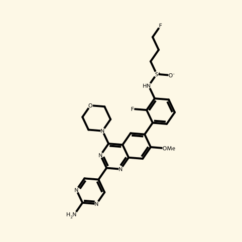 COc1cc2nc(-c3cnc(N)nc3)nc(N3CCOCC3)c2cc1-c1cccc(N[S+]([O-])CCCF)c1F